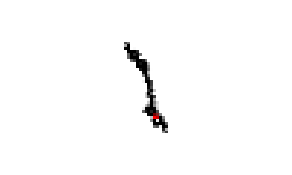 N#Cc1ccc(-c2ccc(OCCCCCCCCCOc3cccc(-c4ccc(C#N)cc4)c3)cc2)cc1